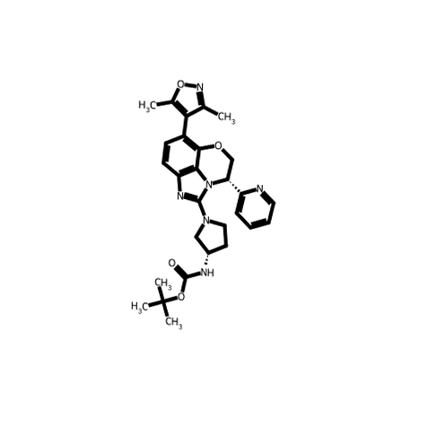 Cc1noc(C)c1-c1ccc2nc(N3CC[C@H](NC(=O)OC(C)(C)C)C3)n3c2c1OC[C@@H]3c1ccccn1